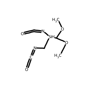 COC(OC)[SiH](CN=C=O)N=C=O